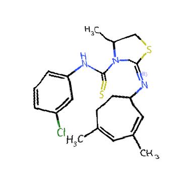 CC1=CC(/N=C2/SCC(C)N2C(=S)Nc2cccc(Cl)c2)CCC(C)=C1